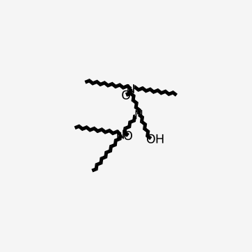 CCCCCCCCCCCCN(CCCCCCCCCCCC)C(=O)CCCCCN(CCCCCCO)CCCCCC(=O)N(CCCCCCCCCCCC)CCCCCCCCCCCC